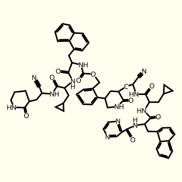 N#CC(CC1CCCNC1=O)NC(=O)C(CC1CC1)NC(=O)C(Cc1cccc2ccccc12)NC(=O)OCc1ccccc1C1CNC(=O)C(CC(C#N)NC(=O)C(CC2CC2)NC(=O)C(Cc2cccc3ccccc23)NC(=O)c2cnccn2)C1